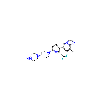 Cc1cc(-c2ccc(N3CCC(N4CCNCC4)CC3)nc2C(F)F)cn2ccnc12